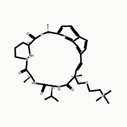 CC(C)[C@@H]1NC(=O)[C@@](C)(COCC[Si](C)(C)C)/C=C/c2ccc3ccc(nc3c2)[C@@H](C)OC(=O)[C@@H]2CCCN(N2)C(=O)[C@H](C)NC1=O